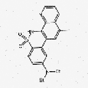 CCN(CC)c1ccc2c(c1)-c1cc(C)c3cccnc3c1NS2(=O)=O